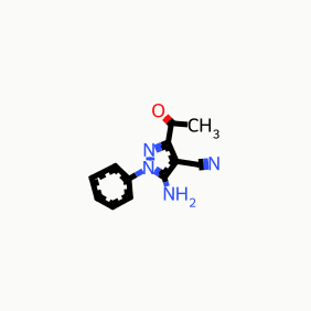 CC(=O)c1nn(-c2ccccc2)c(N)c1C#N